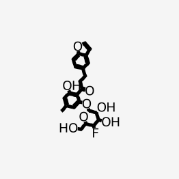 Cc1cc(O)c(C(=O)CCc2ccc3occc3c2)c(OC2OC(CO)C(F)C(O)C2O)c1